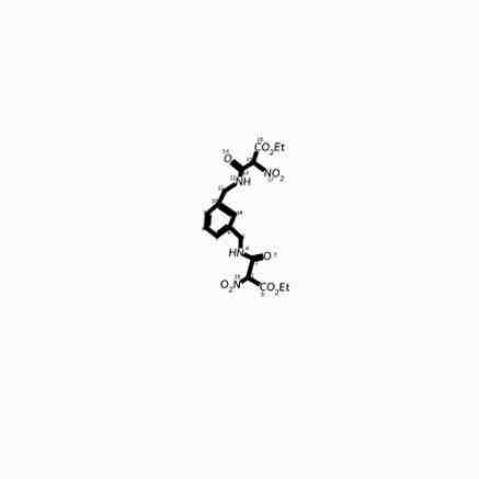 CCOC(=O)C(C(=O)NCc1cccc(CNC(=O)C(C(=O)OCC)[N+](=O)[O-])c1)[N+](=O)[O-]